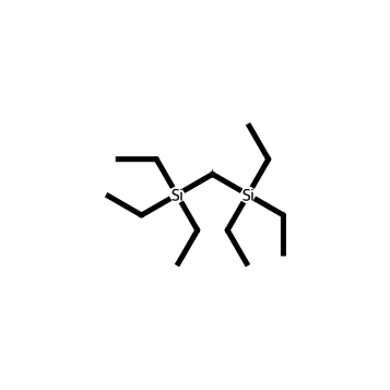 CC[Si]([CH][Si](CC)(CC)CC)(CC)CC